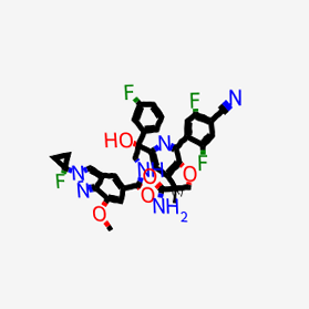 COc1cc(C(=O)NCC(O)(c2cccc(F)c2)c2cc3c(c(-c4cc(F)c(C#N)cc4F)n2)OC[C@]3(C)C(N)=O)cc2cn(C3(F)CC3)nc12